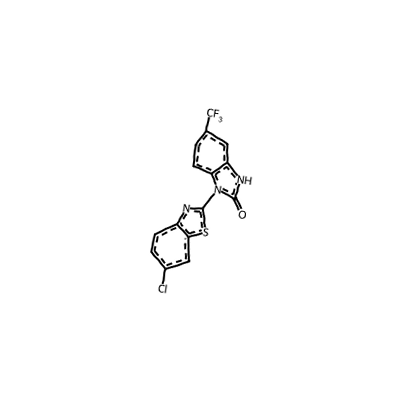 O=c1[nH]c2cc(C(F)(F)F)ccc2n1-c1nc2ccc(Cl)cc2s1